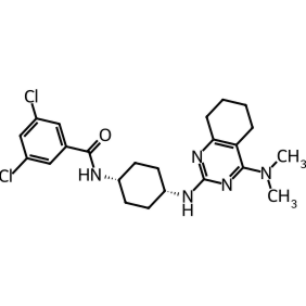 CN(C)c1nc(N[C@H]2CC[C@@H](NC(=O)c3cc(Cl)cc(Cl)c3)CC2)nc2c1CCCC2